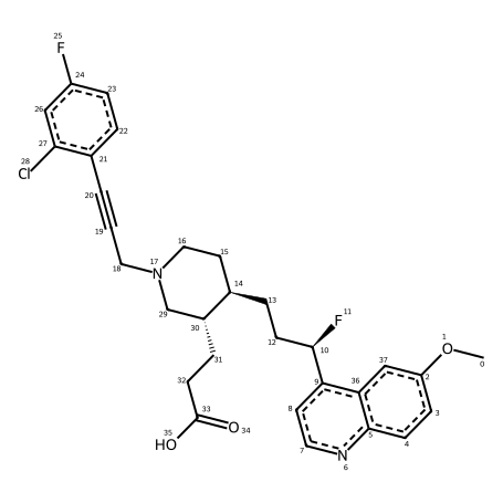 COc1ccc2nccc([C@H](F)CC[C@@H]3CCN(CC#Cc4ccc(F)cc4Cl)C[C@H]3CCC(=O)O)c2c1